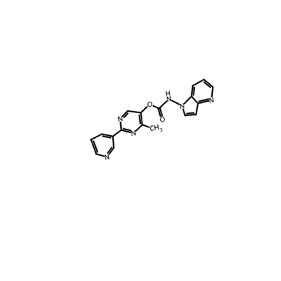 Cc1nc(-c2cccnc2)ncc1OC(=O)Nn1ccc2ncccc21